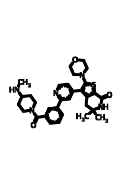 CNC1CCN(C(=O)c2cccc(-c3cc(-c4c(N5CCOCC5)sc5c4CC(C)(C)NC5=O)ccn3)c2)CC1